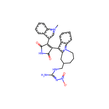 Cn1cc(C2=C(c3c4n(c5ccccc35)CCCC(CN/C(N)=N\[N+](=O)[O-])C4)C(=O)NC2=O)c2ccccc21